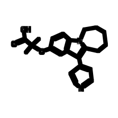 CC(C)(Oc1ccc2c(c1)c(-c1ccncc1)c1n2CCCCC1)C(=O)O